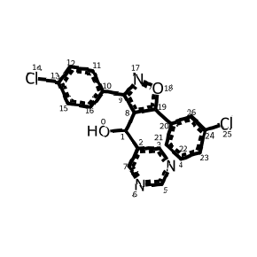 OC(c1cncnc1)c1c(-c2ccc(Cl)cc2)noc1-c1cccc(Cl)c1